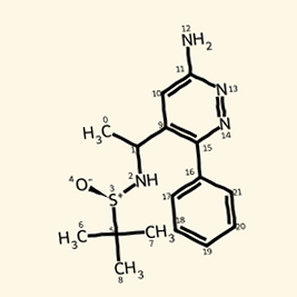 CC(N[S@+]([O-])C(C)(C)C)c1cc(N)nnc1-c1ccccc1